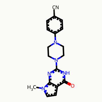 Cn1ccc2c(=O)[nH]c(N3CCN(c4ccc(C#N)cc4)CC3)nc21